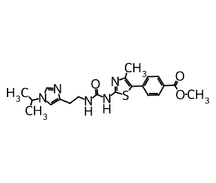 COC(=O)c1ccc(-c2sc(NC(=O)NCCc3cn(C(C)C)cn3)nc2C)cc1